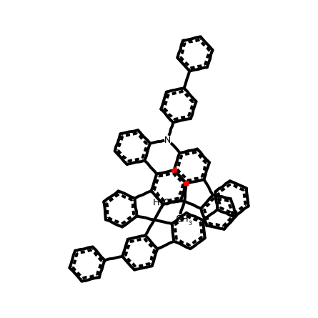 CC1(C)c2ccccc2-c2ccc(N(c3ccc(-c4ccccc4)cc3)c3ccccc3-c3cccc4c3-c3ccccc3C43c4cc(-c5ccccc5)ccc4-c4ccc(-c5ccccc5)cc43)cc21